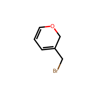 BrCC1=CC=COC1